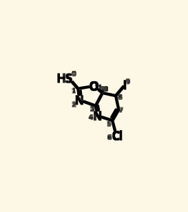 SC1=NC2=NC(Cl)=CC(I)C2O1